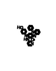 COc1ncccc1Nc1cc2nc3ccccc3n(-c3ccccc3)c-2c/c1=N\C1CCC(O)CC1